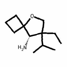 CCC1(C(C)C)COC2(CCC2)[C@H]1N